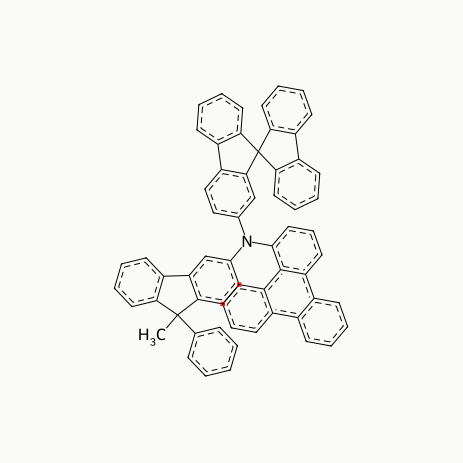 CC1(c2ccccc2)c2ccccc2-c2cc(N(c3ccc4c(c3)C3(c5ccccc5-c5ccccc53)c3ccccc3-4)c3cccc4c5ccccc5c5ccccc5c34)ccc21